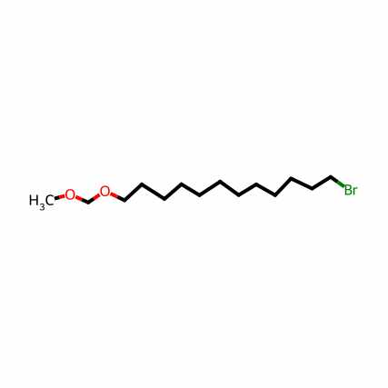 COCOCCCCCCCCCCCCBr